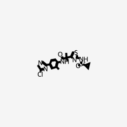 Cc1cc(-c2cncc(Cl)n2)ccc1NC(=O)C(C)(C)c1csc(N[S+]([O-])C2CC2)n1